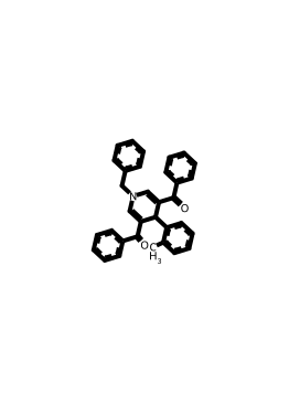 Cc1ccccc1C1C(C(=O)c2ccccc2)=CN(Cc2ccccc2)C=C1C(=O)c1ccccc1